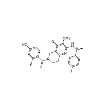 COn1c(N[C@@H](C)c2ccc(C)cc2)nc2c(c1=O)CN(C(=O)c1ccc(C#N)cc1F)CC2